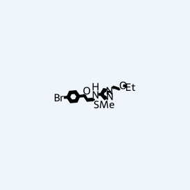 CCOCCn1cc(NC(=CC(=O)c2ccc(Br)cc2)SC)cn1